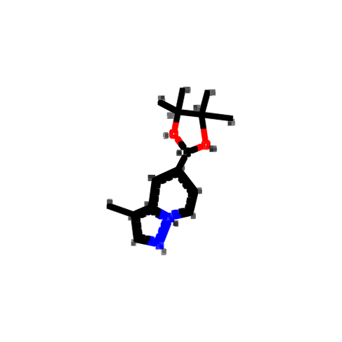 Cc1cnn2ccc(B3OC(C)(C)C(C)(C)O3)cc12